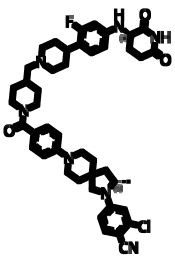 C[C@H]1CC2(CCN(c3ccc(C(=O)N4CCC(CN5CCC(c6ccc(N[C@@H]7CCC(=O)NC7=O)cc6F)CC5)CC4)cc3)CC2)CN1c1ccc(C#N)c(Cl)c1